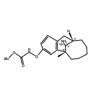 CC(C)(C)OC(=O)NOc1ccc2c(c1)[C@@]1(C)CCCCC[C@@H](C2)[C@@H]1N